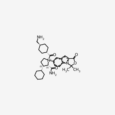 CC1(C)OC(=O)c2cc3cc([N+]4(C(=O)[C@H]5CC[C@H](CN)CC5)CC[C@@H](C5CCCCC5)[C@H]4C(N)=O)ccc3n21